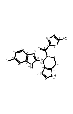 O=C(c1ncc(Cl)s1)N1CCc2[nH]cnc2[C@H]1c1nc2ccc(Br)cc2[nH]1